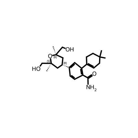 CC1(C)CC=C(c2cc([C@H]3C[C@](C)(CO)O[C@](C)(CO)C3)ccc2C(N)=O)CC1